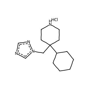 Cl.c1ncn(CC2(C3CCCCC3)CCNCC2)n1